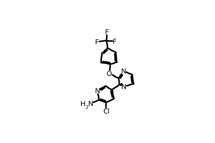 Nc1ncc(-c2nccnc2Oc2ccc(C(F)(F)F)cc2)cc1Cl